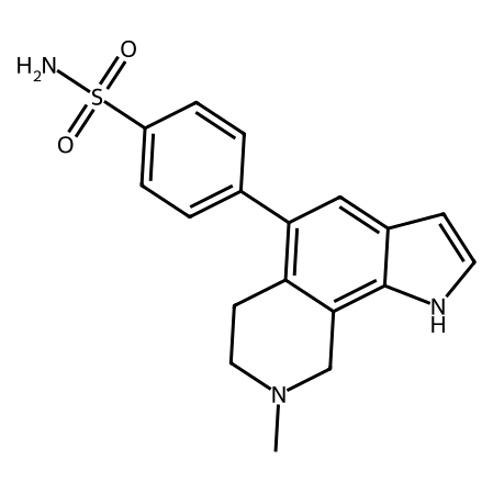 CN1CCc2c(-c3ccc(S(N)(=O)=O)cc3)cc3cc[nH]c3c2C1